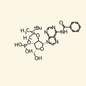 CC(C)(C)[Si](C)(C)O[C@@H]1[C@@H](OP(O)O)[C@@H](CO)O[C@H]1n1cnc2c(NC(=O)c3ccccc3)ncnc21